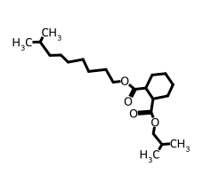 CC(C)CCCCCCCOC(=O)C1CCCCC1C(=O)OCC(C)C